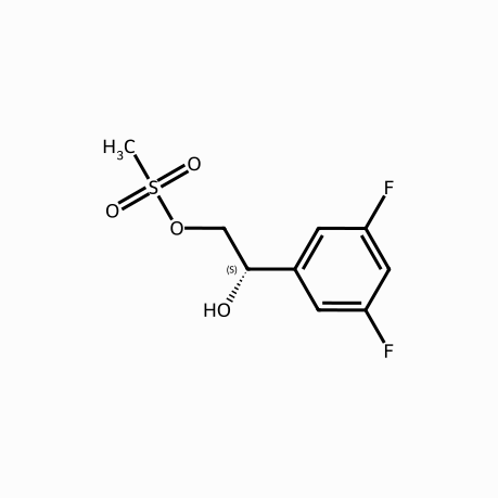 CS(=O)(=O)OC[C@@H](O)c1cc(F)cc(F)c1